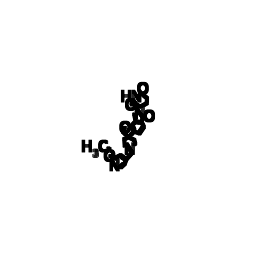 CCOc1cc(CN2CCC3(CC2)COc2c3ccc3c2CN(C2CCC(=O)NC2=O)C3=O)ccn1